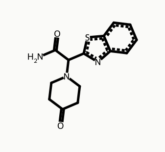 NC(=O)C(c1nc2ccccc2s1)N1CCC(=O)CC1